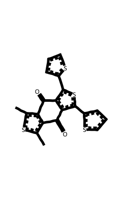 Cc1sc(C)c2c1C(=O)c1c(-c3cccs3)sc(-c3cccs3)c1C2=O